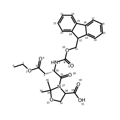 CCOC(=O)C[C@H](NC(=O)OCC1c2ccccc2-c2ccccc21)C(=O)N1C(C(=O)O)COC1(C)C